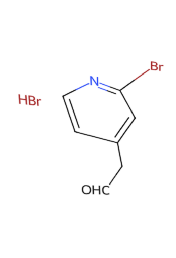 Br.O=CCc1ccnc(Br)c1